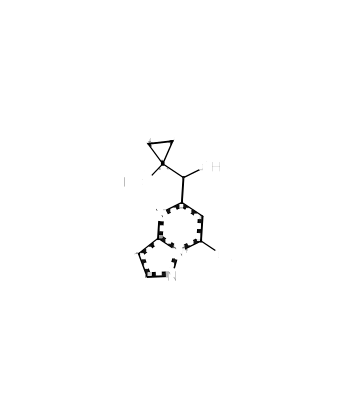 CC(c1cc(Cl)n2nccc2n1)C1(C)CC1